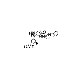 COc1ccc(-c2n[nH]c3c2CN(C(=O)N[C@@H]2CCCN(Cc4c(C)cccc4C)C2)CC3)cc1F